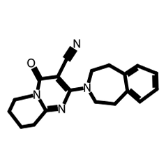 N#Cc1c(N2CCc3ccccc3CC2)nc2n(c1=O)CCCC2